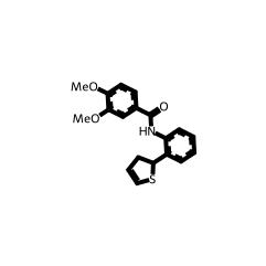 COc1ccc(C(=O)Nc2ccccc2C2CC=CS2)cc1OC